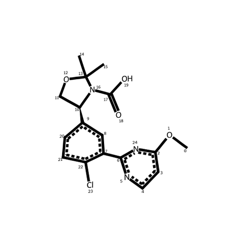 COc1ccnc(-c2cc([C@H]3COC(C)(C)N3C(=O)O)ccc2Cl)n1